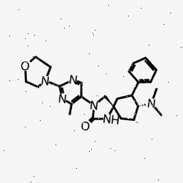 Cc1nc(N2CCOCC2)ncc1N1C[C@@]2(CC[C@@H](N(C)C)C(c3ccccc3)C2)NC1=O